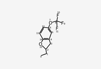 CCC1Cc2cc(OC(F)(F)F)ccc2O1